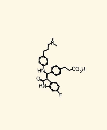 CN(C)CCCc1ccc(N/C(=C2\C(=O)Nc3cc(F)ccc32)c2ccc(CCC(=O)O)cc2)cc1